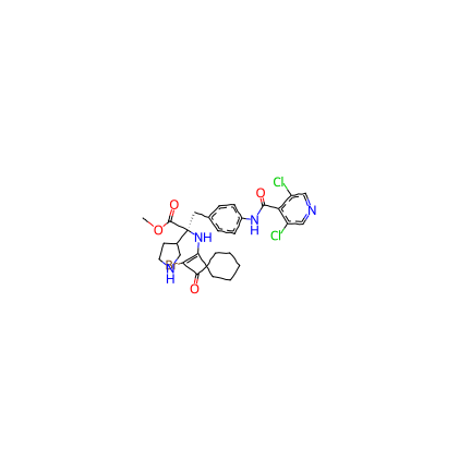 COC(=O)[C@@](Cc1ccc(NC(=O)c2c(Cl)cncc2Cl)cc1)(NC1=C(Br)C(=O)C12CCCCC2)C1CCNC1